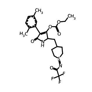 CCOC(=O)OC1=C(c2cc(C)ccc2C)C(=O)NC1CC1CCS(=NC(=O)C(F)(F)F)CC1